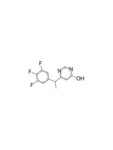 CC(c1cc(F)c(F)c(F)c1)c1cc(O)ncn1